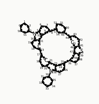 c1ccc(-n2c3ccc4cc3c3cc(ccc32)c2ccc3c(c2)c2cc(ccc2n3-c2ccccc2)c2ccc3sc5ccc(cc5c3c2)c2cccc4c2)cc1